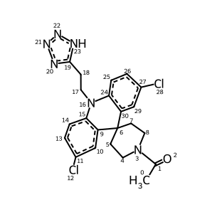 CC(=O)N1CCC2(CC1)c1cc(Cl)ccc1N(CCc1nnn[nH]1)c1ccc(Cl)cc12